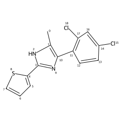 Cc1[nH]c(-c2cccs2)nc1-c1ccc(Cl)cc1Cl